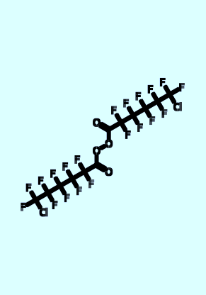 O=C(OOC(=O)C(F)(F)C(F)(F)C(F)(F)C(F)(F)C(F)(F)Cl)C(F)(F)C(F)(F)C(F)(F)C(F)(F)C(F)(F)Cl